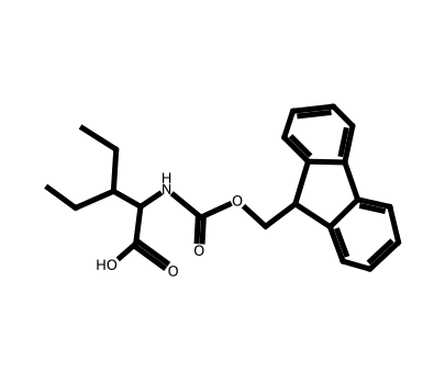 CCC(CC)C(NC(=O)OCC1c2ccccc2-c2ccccc21)C(=O)O